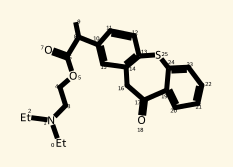 CCN(CC)CCOC(=O)C(C)c1ccc2c(c1)CC(=O)c1ccccc1S2